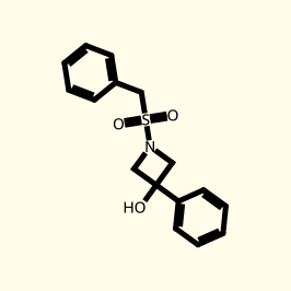 O=S(=O)(Cc1ccccc1)N1CC(O)(c2ccccc2)C1